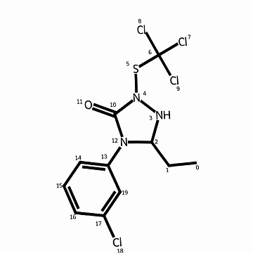 CCC1NN(SC(Cl)(Cl)Cl)C(=O)N1c1cccc(Cl)c1